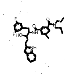 CCCN(CCC)C(=O)c1cc(C)cc(C(=O)NC(Cc2cc(F)cc(F)c2)C(O)CCc2cc3ccccc3[nH]2)c1